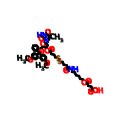 COc1ccc(C(OCC2OC(n3cc(C)c(=O)[nH]c3=O)CC2OC(=O)CCCSSCCCC(=O)NCCCCCCOC(=O)CCC(=O)O)(c2ccccc2)c2ccc(OC)cc2)cc1